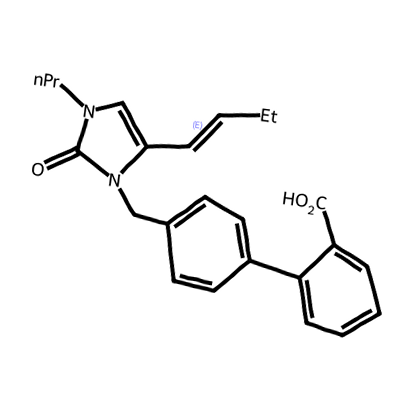 CC/C=C/c1cn(CCC)c(=O)n1Cc1ccc(-c2ccccc2C(=O)O)cc1